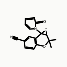 CC1(C)Oc2ccc(C#N)cc2C2(n3ccccc3=O)OC12